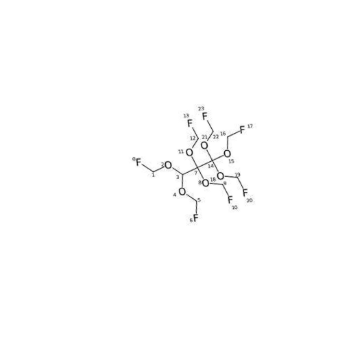 FCOC(OCF)C(OCF)(OCF)C(OCF)(OCF)OCF